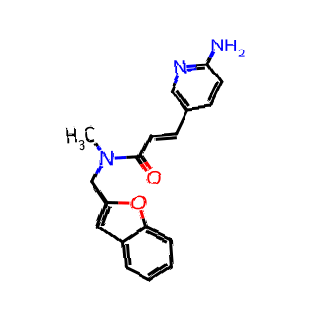 CN(Cc1cc2ccccc2o1)C(=O)C=Cc1ccc(N)nc1